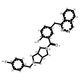 O=C(c1cc(Cc2nncc3ccccc23)ccc1F)N1CC2CN(Cc3ccc(F)cc3)CC2C1